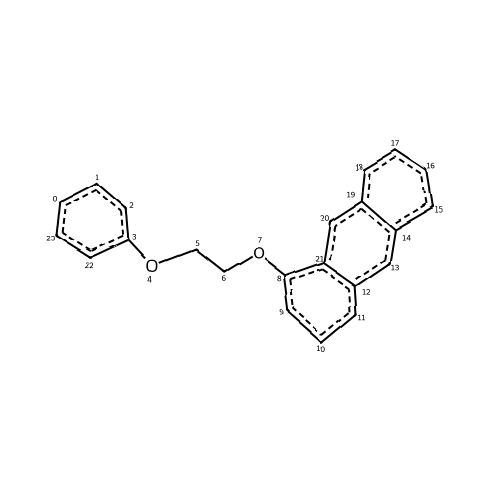 c1ccc(OCCOc2cccc3cc4ccccc4cc23)cc1